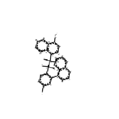 CC(C)(c1ccc(F)cc1-c1cccc2ccccc12)C(C)(C)c1ccc(F)c2ccccc12